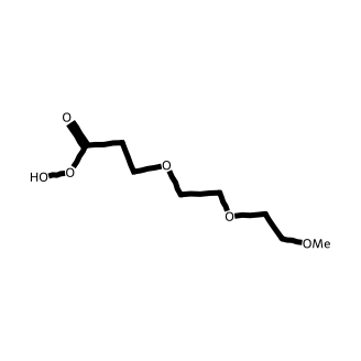 COCCOCCOCCC(=O)OO